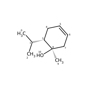 CC(C)[C@@H]1CC=CC[C@@]1(C)O